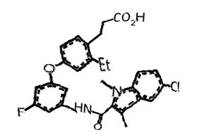 CCc1cc(Oc2cc(F)cc(CNC(=O)c3c(C)c4cc(Cl)ccc4n3C)c2)ccc1CCC(=O)O